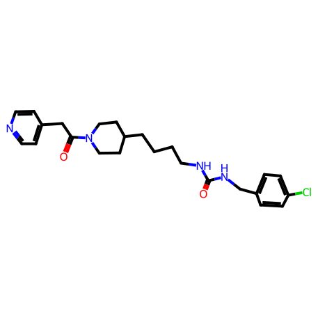 O=C(NCCCCC1CCN(C(=O)Cc2ccncc2)CC1)NCc1ccc(Cl)cc1